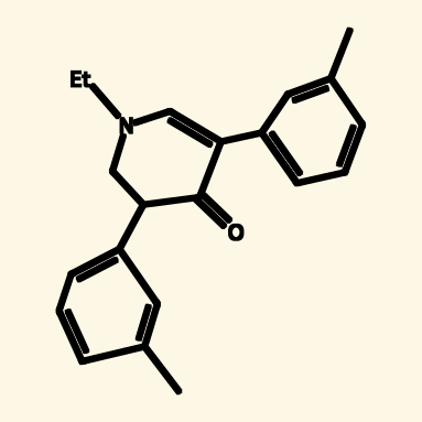 CCN1C=C(c2cccc(C)c2)C(=O)C(c2cccc(C)c2)C1